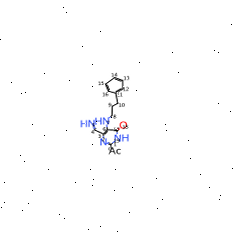 CC(=O)c1nc(C=N)c(NCCCc2ccccc2)c(=O)[nH]1